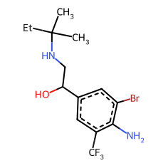 CCC(C)(C)NCC(O)c1cc(Br)c(N)c(C(F)(F)F)c1